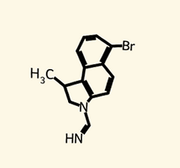 CC1CN(C=N)c2ccc3c(Br)cccc3c21